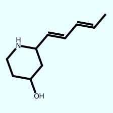 CC=CC=CC1CC(O)CCN1